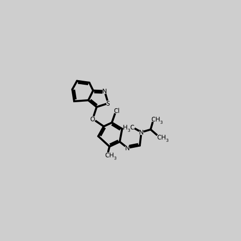 Cc1cc(Oc2snc3ccccc23)c(Cl)cc1/N=C\N(C)C(C)C